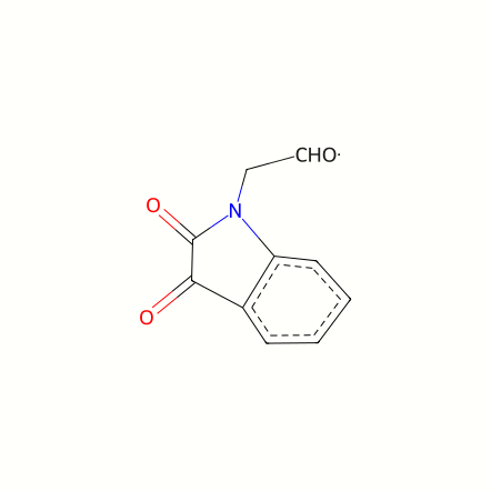 O=[C]CN1C(=O)C(=O)c2ccccc21